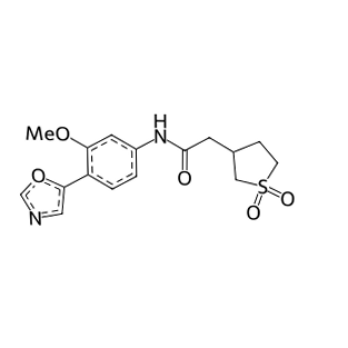 COc1cc(NC(=O)CC2CCS(=O)(=O)C2)ccc1-c1cnco1